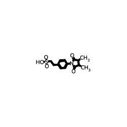 CC1C(=O)N(c2ccc(CCS(=O)(=O)O)cc2)C(=O)C1C